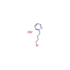 Br.BrCCCCc1ccccn1